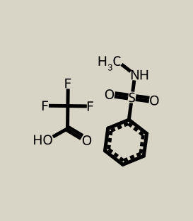 CNS(=O)(=O)c1ccccc1.O=C(O)C(F)(F)F